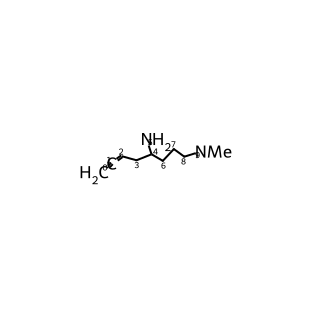 C=C=CCC(N)CCCNC